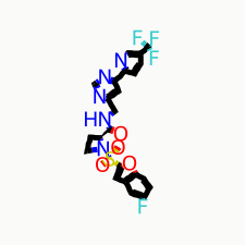 O=C(NCc1cc(-c2ccc(C(F)(F)F)cn2)ncn1)[C@@H]1CCN1S(=O)(=O)c1cc2cc(F)ccc2o1